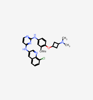 COc1cc(Nc2nccc(Nc3cnc4c(Cl)cccc4c3)n2)ccc1OC1CC(N(C)C)C1